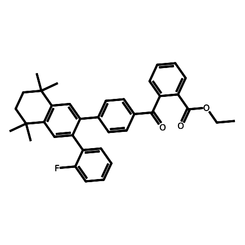 CCOC(=O)c1ccccc1C(=O)c1ccc(-c2cc3c(cc2-c2ccccc2F)C(C)(C)CCC3(C)C)cc1